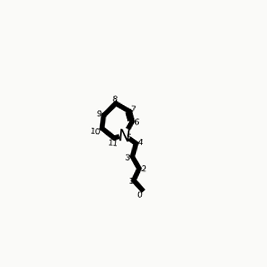 CCCCCN1C=CCCCC1